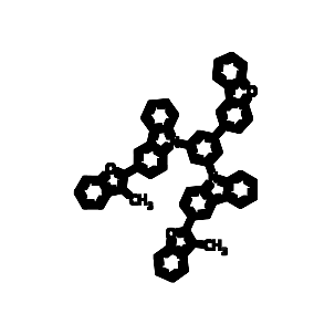 Cc1c(-c2ccc3c(c2)c2ccccc2n3-c2cc(-c3ccc4oc5ccccc5c4c3)cc(-n3c4ccccc4c4cc(-c5oc6ccccc6c5C)ccc43)c2)oc2ccccc12